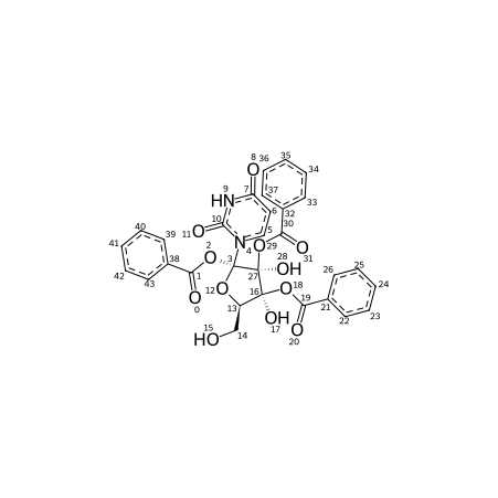 O=C(O[C@@]1(n2ccc(=O)[nH]c2=O)O[C@H](CO)[C@](O)(OC(=O)c2ccccc2)[C@]1(O)OC(=O)c1ccccc1)c1ccccc1